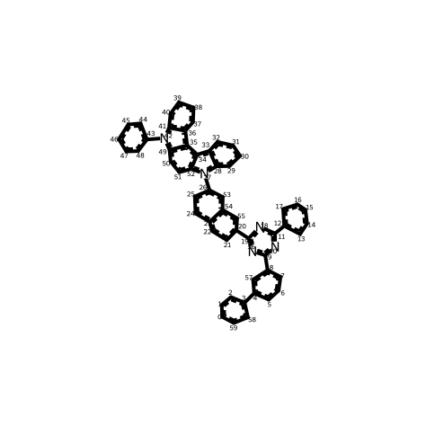 c1ccc(-c2cccc(-c3nc(-c4ccccc4)nc(-c4ccc5ccc(-n6c7ccccc7c7c8c9ccccc9n(-c9ccccc9)c8ccc76)cc5c4)n3)c2)cc1